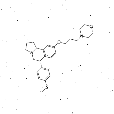 CSc1ccc([C@@H]2CN3CCCC3c3cc(OCCCN4CCOCC4)ccc32)cc1